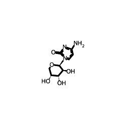 Nc1ccn([C@@H]2OC[C@@H](O)[C@@H](O)[C@@H]2O)c(=O)n1